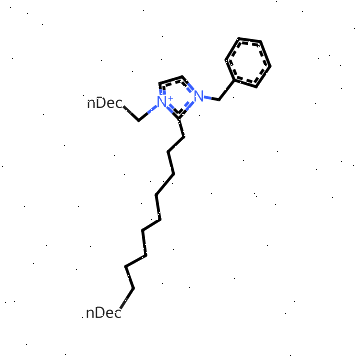 CCCCCCCCCCCCCCCCCCCc1n(Cc2ccccc2)cc[n+]1CCCCCCCCCCC